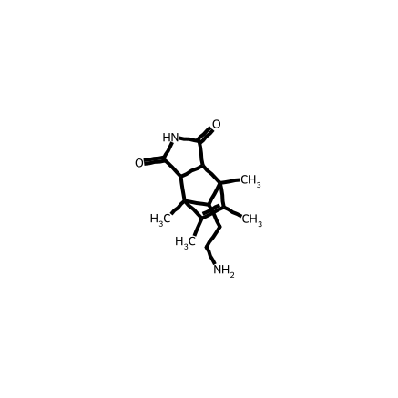 CC1=C(C)C2(C)C3C(=O)NC(=O)C3C1(C)C2CCN